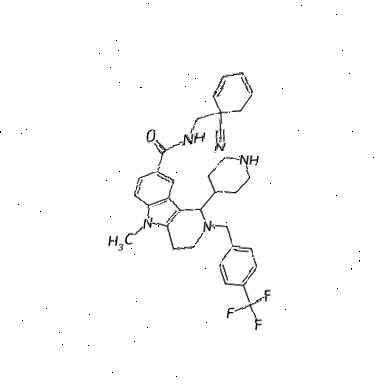 Cn1c2c(c3cc(C(=O)NCC4(C#N)C=CC=CC4)ccc31)C(C1CCNCC1)N(Cc1ccc(C(F)(F)F)cc1)CC2